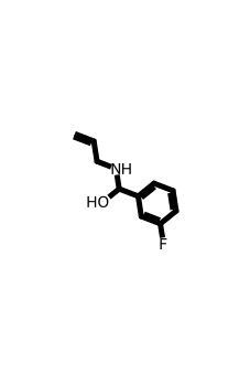 C=CCNC(O)c1cccc(F)c1